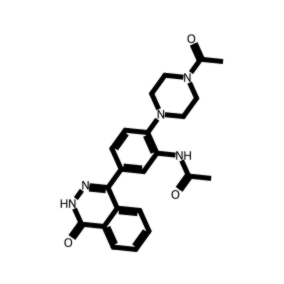 CC(=O)Nc1cc(-c2n[nH]c(=O)c3ccccc23)ccc1N1CCN(C(C)=O)CC1